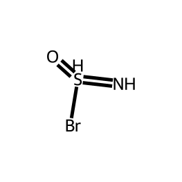 N=[SH](=O)Br